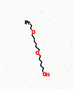 CC(C)CCOCCCCCCOCCCCCCO